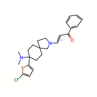 CN(C)C1(c2ccc(Cl)s2)CCC2(CCN(/C=C/C(=O)c3ccccc3)C2)CC1